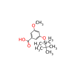 COc1cc(O[Si](C)(C)C(C)(C)C)cc(C(=O)O)c1